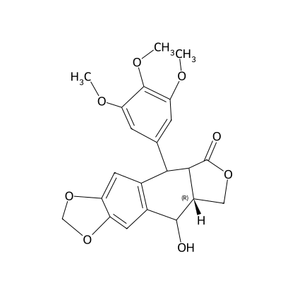 COc1cc(C2c3cc4c(cc3C(O)[C@H]3COC(=O)C23)OCO4)cc(OC)c1OC